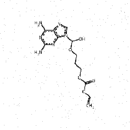 C=COC(=O)OCCCOC(O)n1cnc2c(N)nc(N)nc21